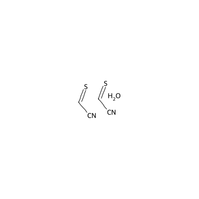 N#CC=S.N#CC=S.O